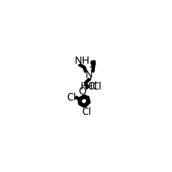 C#CCN(CCCN)CCCOc1ccc(Cl)cc1Cl.Cl.Cl